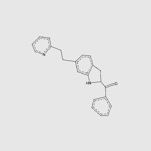 O=C(c1ccccc1)C1Cc2ccc(CCc3ccccn3)cc2N1